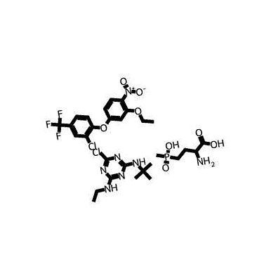 CCNc1nc(Cl)nc(NC(C)(C)C)n1.CCOc1cc(Oc2ccc(C(F)(F)F)cc2Cl)ccc1[N+](=O)[O-].CP(=O)(O)CCC(N)C(=O)O